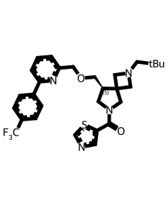 CC(C)(C)CN1CC2(C1)CN(C(=O)c1cncs1)C[C@H]2COCc1cccc(-c2ccc(C(F)(F)F)cc2)n1